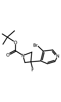 CC(C)(C)OC(=O)N1CC(F)(c2ccncc2Br)C1